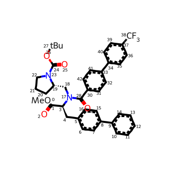 COC(=O)[C@H](Cc1ccc(-c2ccccc2)cc1)N(C[C@@H]1CCCN1C(=O)OC(C)(C)C)C(=O)c1ccc(-c2ccc(C(F)(F)F)cc2)cc1